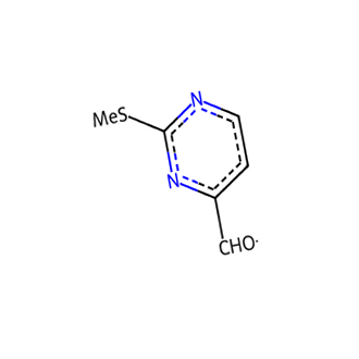 CSc1nccc([C]=O)n1